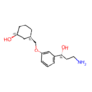 NCC[C@@H](O)c1cccc(OC[C@@H]2CCC[C@H](O)C2)c1